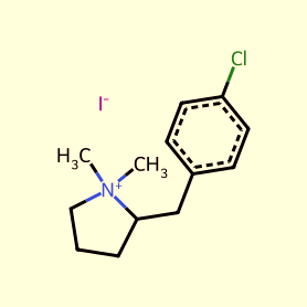 C[N+]1(C)CCCC1Cc1ccc(Cl)cc1.[I-]